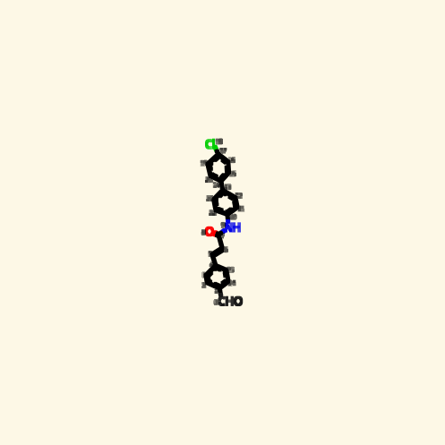 O=Cc1ccc(C=CC(=O)Nc2ccc(-c3ccc(Cl)cc3)cc2)cc1